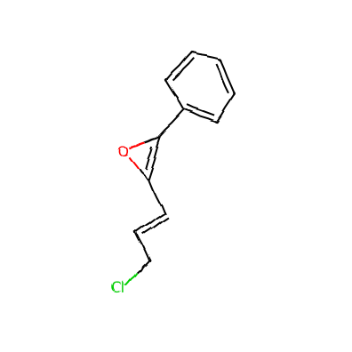 ClCC=CC1=C(c2ccccc2)O1